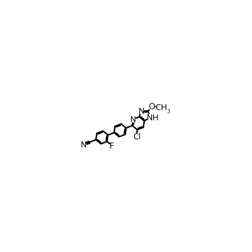 COc1nc2nc(-c3ccc(-c4ccc(C#N)cc4F)cc3)c(Cl)cc2[nH]1